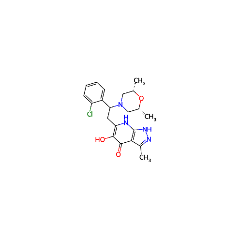 Cc1n[nH]c2[nH]c(CC(c3ccccc3Cl)N3C[C@@H](C)O[C@@H](C)C3)c(O)c(=O)c12